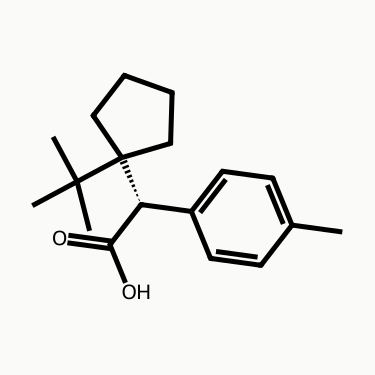 Cc1ccc([C@H](C(=O)O)C2(C(C)(C)C)CCCC2)cc1